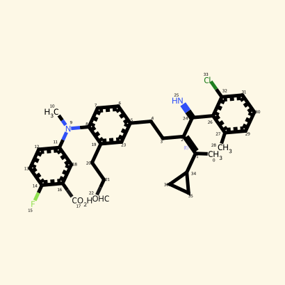 C/C(=C(/CCc1ccc(N(C)c2ccc(F)c(C(=O)O)c2)c(CCC=O)c1)C(=N)c1c(C)cccc1Cl)C1CC1